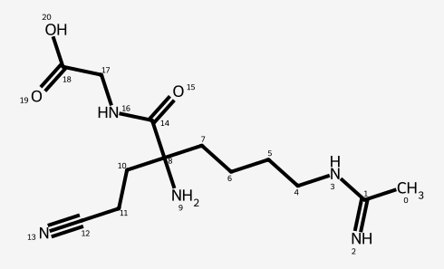 CC(=N)NCCCCC(N)(CCC#N)C(=O)NCC(=O)O